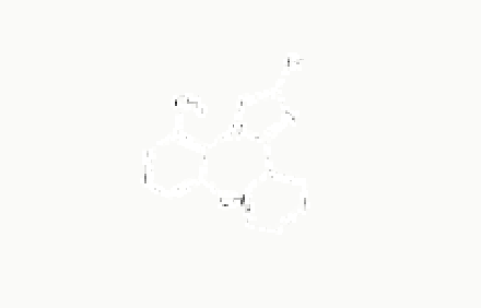 Cc1cccc(C)c1-n1cc(Br)nc1-c1ccccc1